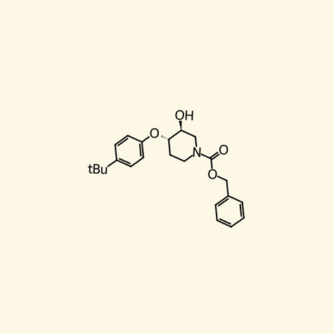 CC(C)(C)c1ccc(O[C@H]2CCN(C(=O)OCc3ccccc3)C[C@@H]2O)cc1